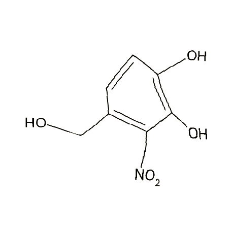 O=[N+]([O-])c1c(CO)ccc(O)c1O